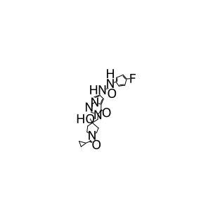 O=C(Nc1ccc(F)cc1)Nc1cc2c(=O)n(CC3(O)CCN(C(=O)C4CC4)CC3)cnn2c1